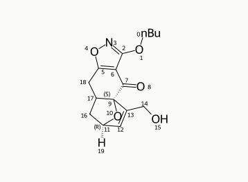 CCCCOc1noc2c1C(=O)[C@@]13O[C@@H](C=C1CO)CC3C2